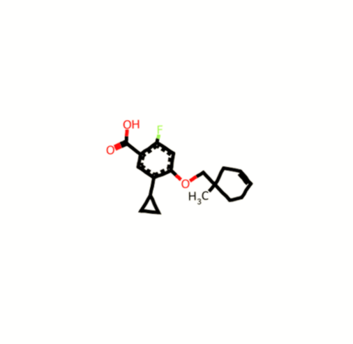 CC1(COc2cc(F)c(C(=O)O)cc2C2CC2)CC=CCC1